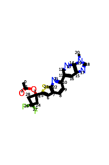 CC(=O)OC1(c2cc3ccc(-c4cnc5c(c4)ncn5C)nc3s2)CC(F)(F)C1